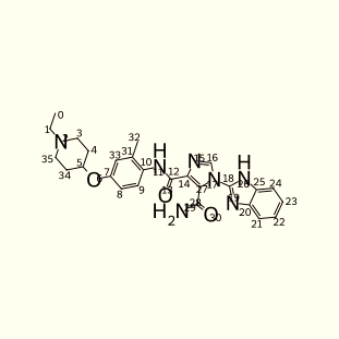 CCN1CCC(Oc2ccc(NC(=O)c3ncn(-c4nc5ccccc5[nH]4)c3C(N)=O)c(C)c2)CC1